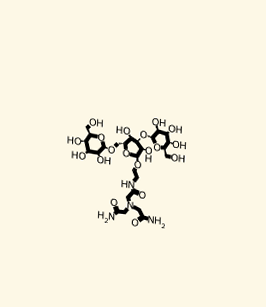 NC(=O)CN(CC(N)=O)CC(=O)NCCO[C@H]1O[C@H](CO[C@H]2O[C@H](CO)[C@@H](O)[C@H](O)[C@@H]2O)[C@@H](O)[C@H](O[C@H]2O[C@H](CO)[C@@H](O)[C@H](O)[C@@H]2O)[C@@H]1O